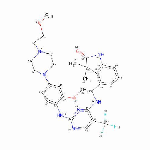 COCCN1CCN(c2ccc(Nc3ncc(C(F)(F)F)c(NCc4cccc5c4C(C)(C)C(=O)N5)n3)c(OC)c2)CC1